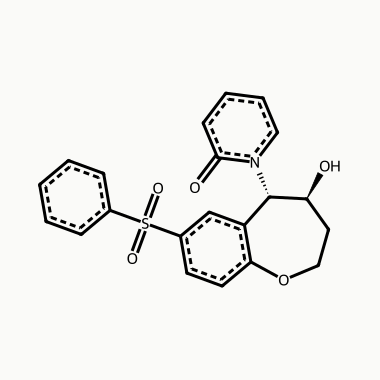 O=c1ccccn1[C@H]1c2cc(S(=O)(=O)c3ccccc3)ccc2OCC[C@@H]1O